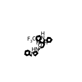 FC(F)(F)c1ccc2c(c1)[C@H]1O[C@@H](CN[C@H]3CCN(Cc4ccccc4)C3)CC[C@H]1[C@H](c1ccccc1)N2